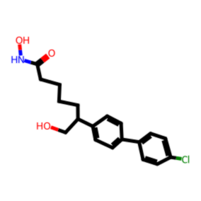 O=C(CCCCC(CO)c1ccc(-c2ccc(Cl)cc2)cc1)NO